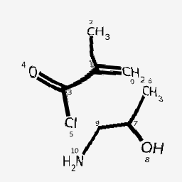 C=C(C)C(=O)Cl.CC(O)CN